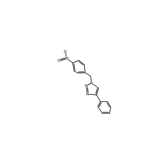 O=[N+]([O-])c1ccc(Cn2cc(-c3ccccc3)nn2)cc1